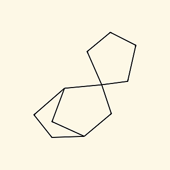 C1CCC2(C1)CC1CCC2C1